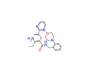 C=C(S/C(C(=O)NCc1ccccc1N1CCOCC1)=C(\N)CC)c1ncccn1